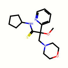 COC(CN1CCOCC1)(C(=S)NC1CCCC1)c1ccccn1